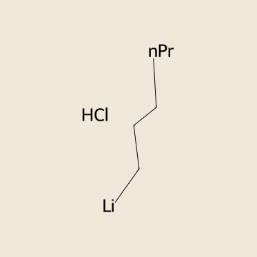 Cl.[Li][CH2]CCCCC